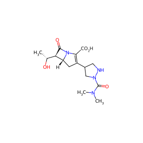 C[C@@H](O)[C@H]1C(=O)N2C(C(=O)O)=C(C3CNN(C(=O)N(C)C)C3)C[C@H]12